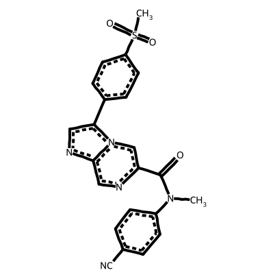 CN(C(=O)c1cn2c(-c3ccc(S(C)(=O)=O)cc3)cnc2cn1)c1ccc(C#N)cc1